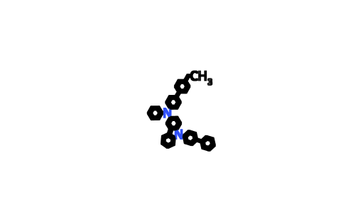 CCc1ccc(-c2ccc(N(c3ccccc3)c3ccc4c(c3)c3ccccc3n4-c3ccc(-c4ccccc4)cc3)cc2)cc1